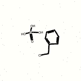 ClCc1ccccc1.O=P(O)(O)O